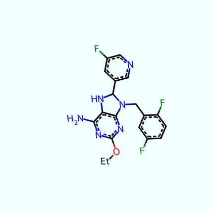 CCOc1nc(N)c2c(n1)N(Cc1cc(F)ccc1F)C(c1cncc(F)c1)N2